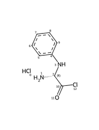 Cl.N[C@H](Nc1ccccc1)C(=O)Cl